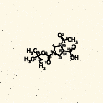 CC(=O)[C@H]1CN(C(=O)OC(C)(C)C)C[C@@H]1C(=O)O